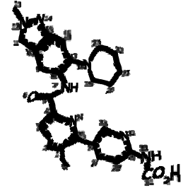 Cc1ccc(C(=O)Nc2cc3cn(C)nc3cc2N2CCCCC2)nc1-c1ccc(NC(=O)O)nc1